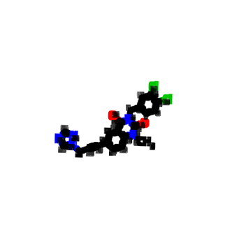 Cn1c(=O)n(Cc2ccc(Cl)c(Cl)c2)c(=O)c2cc(C#CCn3cncn3)ccc21